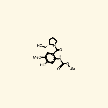 COc1cc(C(=O)N2CCC[C@H]2CO)c(NC(=O)OC(C)(C)C)cc1O